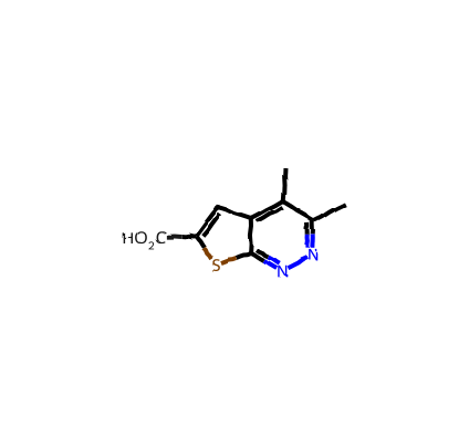 Cc1nnc2sc(C(=O)O)cc2c1C